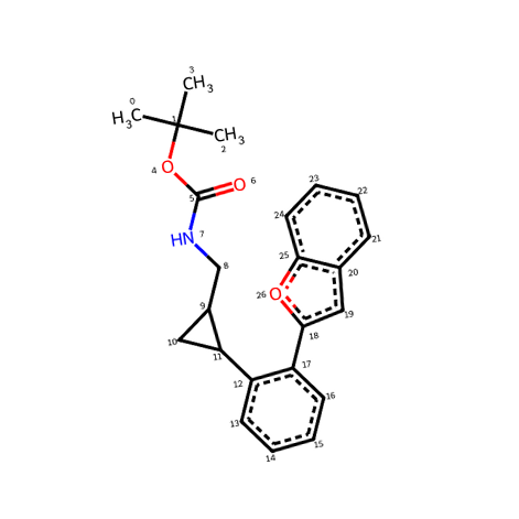 CC(C)(C)OC(=O)NCC1CC1c1ccccc1-c1cc2ccccc2o1